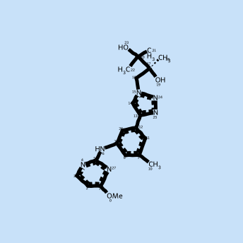 COc1ccnc(Nc2cc(C)cc(-c3cn(C[C@](C)(O)C(C)(C)O)nn3)c2)n1